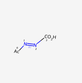 CC(=O)/N=N/C(=O)O